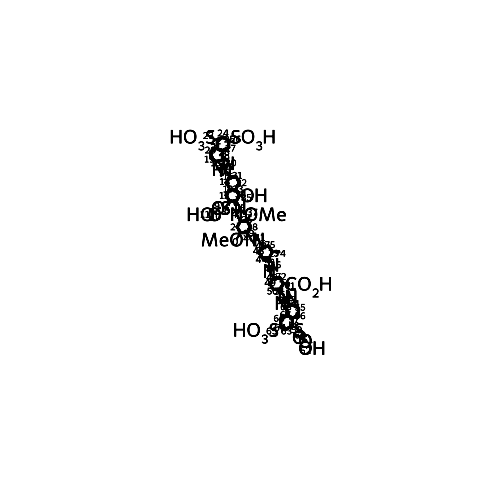 COc1cc(N=Nc2c(SOOO)cc3cc(-n4nc5ccc6c(S(=O)(=O)O)cc(S(=O)(=O)O)cc6c5n4)ccc3c2O)c(OC)cc1N=Nc1ccc(N=Nc2ccc(-n3nc4ccc5c(SOOO)cc(S(=O)(=O)O)cc5c4n3)c(C(=O)O)c2)c(C)c1